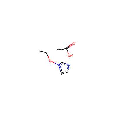 CC(=O)O.CCOn1ccnc1